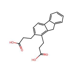 O=C(O)CCc1ccc2c(c1CCC(=O)O)Cc1ccccc1-2